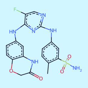 Cc1ccc(Nc2ncc(F)c(Nc3ccc4c(c3)NC(=O)CO4)n2)cc1S(N)(=O)=O